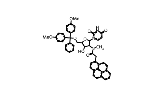 COc1ccc(C(OCC2OC(n3ccc(=O)[nH]c3=O)C(N(C)C(=O)Cc3ccc4ccc5cccc6ccc3c4c56)C2O)(c2ccccc2)c2ccc(OC)cc2)cc1